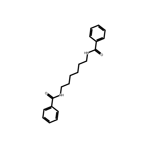 O=C(NCCCCCCNC(=O)c1ccccc1)c1ccccc1